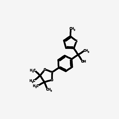 Cc1ccc(C(C)(O)c2ccc(B3OC(C)(C)C(C)(C)O3)cc2)s1